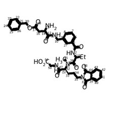 CCC(NC(=O)c1cccc(CNC(=O)C(N)CC(=O)OCc2ccccc2)c1)C(=O)N(C)[C@@H](CCCN1C(=O)c2ccccc2C1=O)C(=O)NCC(=O)O